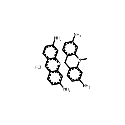 CN1c2cc(N)ccc2Cc2ccc(N)cc21.Cl.Nc1ccc2cc3ccc(N)cc3nc2c1